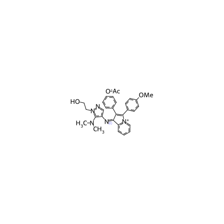 CC(=O)[O-].COc1ccc(C2=C(c3ccccc3)/C(=N\c3cnn(CCO)c3N(C)C)c3cccc[n+]32)cc1